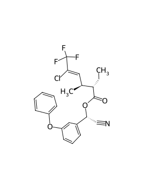 CC[C@H](C(=O)O[C@H](C#N)c1cccc(Oc2ccccc2)c1)[C@@H](C)/C=C(\Cl)C(F)(F)F